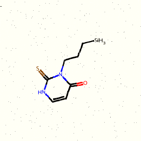 O=c1cc[nH]c(=S)n1CCC[SiH3]